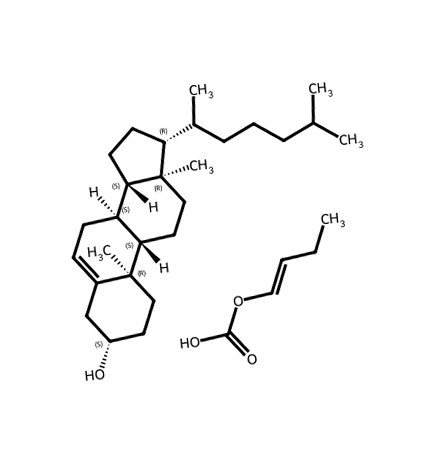 CC(C)CCCC(C)[C@H]1CC[C@H]2[C@@H]3CC=C4C[C@@H](O)CC[C@]4(C)[C@H]3CC[C@]12C.CCC=COC(=O)O